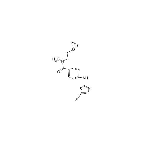 COCCN(C)C(=O)c1ccc(Nc2ncc(Br)s2)cc1